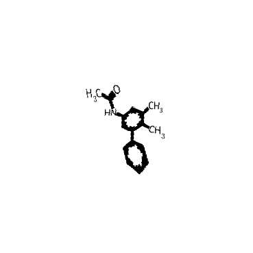 CC(=O)Nc1cc(C)c(C)c(-c2ccccc2)c1